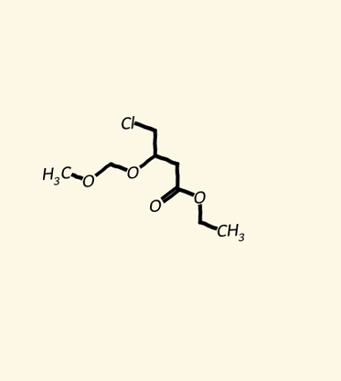 CCOC(=O)CC(CCl)OCOC